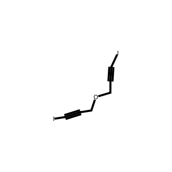 IC#CCOCC#CI